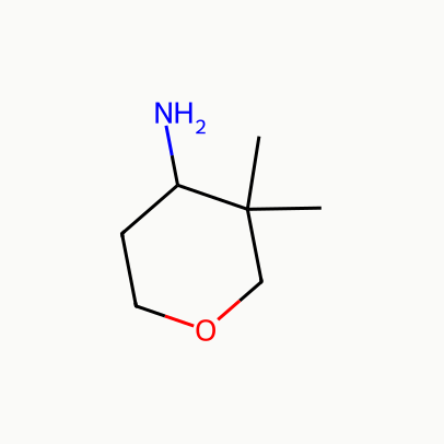 CC1(C)COCCC1N